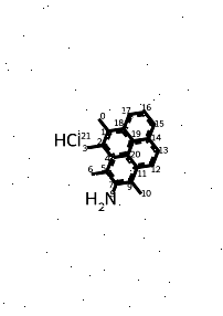 Cc1c(C)c2c(C)c(N)c(C)c3ccc4cccc1c4c32.Cl